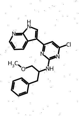 COCC(Cc1ccccc1)Nc1nc(Cl)cc(-c2c[nH]c3ncccc23)n1